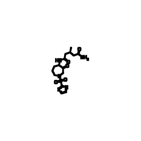 C[C@@H](CC(N)=O)CC(=O)NC1CCCN(S(=O)(=O)c2nccs2)CC1=O